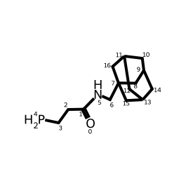 O=C(CCP)NCC12CC3CC(CC(C3)C1)C2